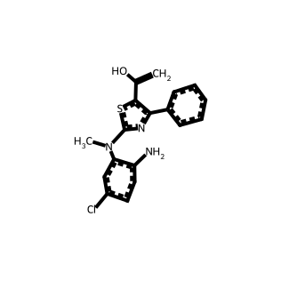 C=C(O)c1sc(N(C)c2cc(Cl)ccc2N)nc1-c1ccccc1